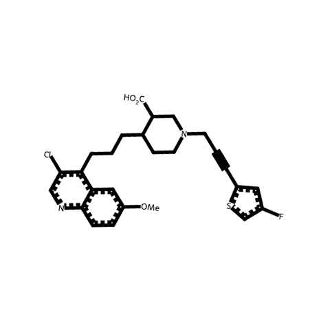 COc1ccc2ncc(Cl)c(CCCC3CCN(CC#Cc4cc(F)cs4)CC3C(=O)O)c2c1